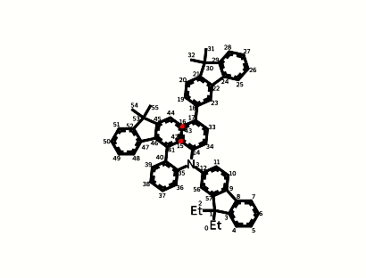 CCC1(CC)c2ccccc2-c2ccc(N(c3ccc(-c4ccc5c(c4)-c4ccccc4C5(C)C)cc3)c3ccccc3-c3cccc4c3-c3ccccc3C4(C)C)cc21